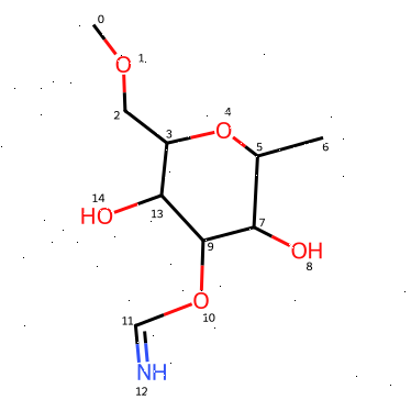 COCC1OC(C)C(O)C(OC=N)C1O